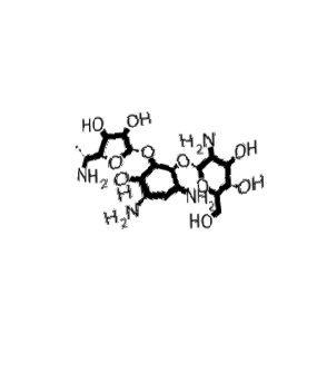 C[C@@H](N)[C@H]1O[C@@H](OC2C(O)[C@H](N)CC(N)[C@@H]2O[C@H]2OC(CO)[C@@H](O)C(O)C2N)C(O)C1O